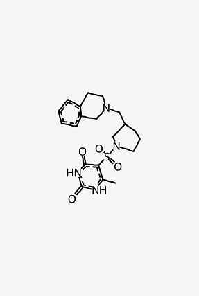 Cc1[nH]c(=O)[nH]c(=O)c1S(=O)(=O)N1CCCC(CN2CCc3ccccc3C2)C1